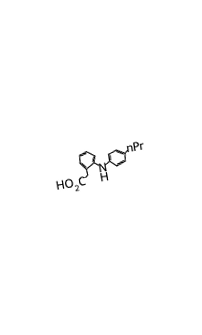 CCCc1ccc(Nc2ccccc2CC(=O)O)cc1